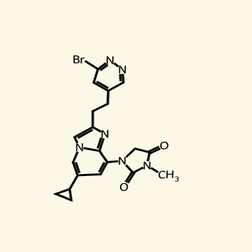 CN1C(=O)CN(c2cc(C3CC3)cn3cc(CCc4cnnc(Br)c4)nc23)C1=O